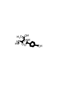 C#Cc1ccc(C(=O)N[C@H](C(=O)NO)[C@@H](C)O)cc1